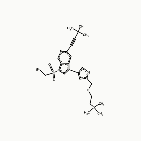 CC(C)CS(=O)(=O)n1cc(-c2cnn(COCCS(C)(C)C)c2)c2cc(C#CC(C)(C)O)ncc21